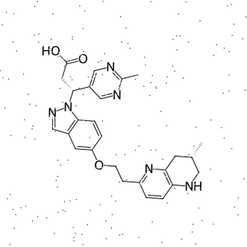 Cc1ncc([C@@H](CC(=O)O)n2ncc3cc(OCCc4ccc5c(n4)C[C@H](C)CN5)ccc32)cn1